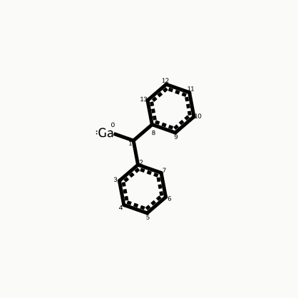 [Ga][CH](c1ccccc1)c1ccccc1